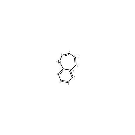 C1=C[N]c2ccccc2C=C1